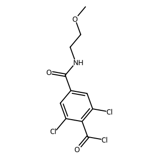 COCCNC(=O)c1cc(Cl)c(C(=O)Cl)c(Cl)c1